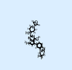 [2H]c1cc(-c2ccc3nnn(CC(F)(F)F)c3c2)c2c(OC)nc(NC3CCN(C4COC4)CC3)nn12